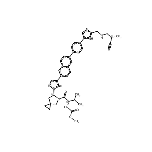 COC(=O)N[C@H](C(=O)N1CC2(CC2)C[C@H]1c1ncc(-c2ccc3cc(-c4ccc(-c5cnc(CNC[C@H](C)C#N)[nH]5)cc4)ccc3c2)[nH]1)C(C)C